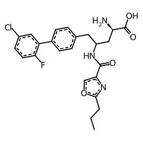 CCCc1nc(C(=O)NC(Cc2ccc(-c3cc(Cl)ccc3F)cc2)C[C@@H](N)C(=O)O)co1